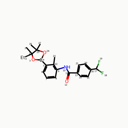 CCC1(C)OB(c2cccc(NC(=O)c3ccc(C(F)F)cc3)c2C)OC1(C)C